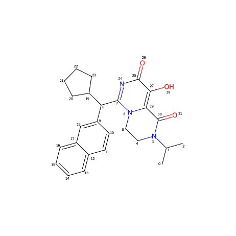 CC(C)N1CCn2c(C(c3ccc4ccccc4c3)C3CCCC3)nc(=O)c(O)c2C1=O